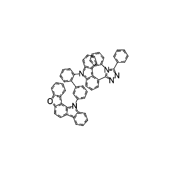 c1ccc(-c2nnc(-c3cccc4c3c3ccccc3n4-c3ccccc3-c3cccc(-n4c5ccccc5c5ccc6oc7ccccc7c6c54)c3)n2-c2ccccc2)cc1